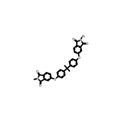 CC(C)N1C(=O)c2ccc(Oc3ccc(C(C)(C)c4ccc(Oc5ccc6c(c5)C(=O)N(C)C6=O)cc4)cc3)cc2C1=O